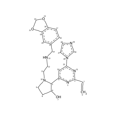 C=Cc1nc(C2C(O)CCN2CCNCc2ccc3c(c2)OCO3)cc(-n2ccnc2)n1